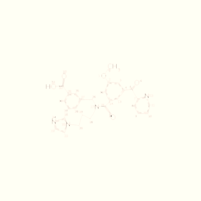 COc1cc(C(=O)c2ccccn2)cc(C(=O)N(CCCn2ccnc2)Cc2cccc(C(=O)O)c2)c1